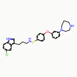 Clc1ccc2[nH]cc(CCCNSc3ccc(Oc4cccc(N5CCCNCC5)c4)cc3)c2c1